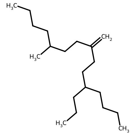 C=C(CCC(C)CCCC)CCC(CCC)CCCC